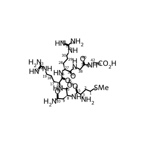 CSCC[C@H](N)C(=O)N[C@@H](CC(N)=O)C(=O)N[C@@H](CCCNC(=N)N)C(=O)N[C@@H](CCCNC(=N)N)C(=O)NCC(=O)NCC(=O)O